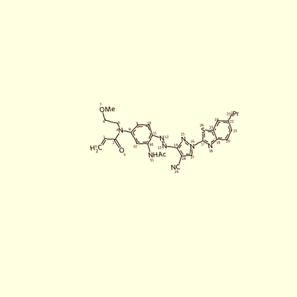 C=CC(=O)N(CCOC)c1ccc(N=Nc2nn(-c3nc4ccc(C(C)C)cc4s3)cc2C#N)c(NC(C)=O)c1